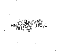 N=C(N)c1cccc(C2Oc3ccccc3N(CCCCCN3CCCC3C(=O)O)C2=O)c1